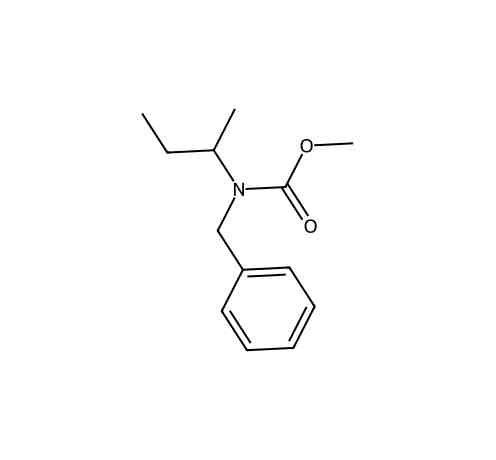 CCC(C)N(Cc1ccccc1)C(=O)OC